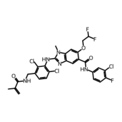 C=C(C)C(=O)NCc1ccc(Cl)c(Nc2nc3cc(C(=O)Nc4ccc(F)c(Cl)c4)c(OCC(F)F)cc3n2C)c1Cl